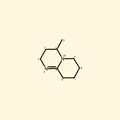 CC1CCN=C2CCCCN21